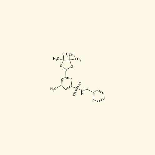 Cc1cc(B2OC(C)(C)C(C)(C)O2)cc(S(=O)(=O)NCc2ccccc2)c1